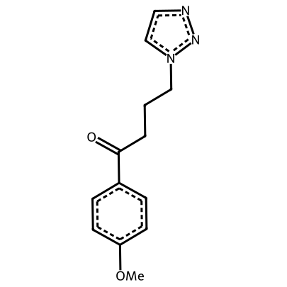 COc1ccc(C(=O)CCCn2ccnn2)cc1